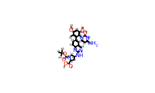 COC(=O)C1CC(Nc2ncc3cc(-c4c(C)c(OC)cc(OC)c4-n4ccc(N)nc4=O)ccc3n2)CN1C(=O)OC(C)(C)C